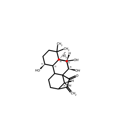 C=C1C(=O)C23C(CCC1[C@H]2O)[C@@]12CO[C@@]3(O)[C@@H](O)[C@]1(C)C(C)(C)CC[C@@H]2O